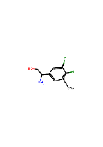 COc1cc(C(N)CO)cc(F)c1F